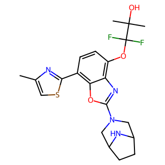 Cc1csc(-c2ccc(OC(F)(F)C(C)(C)O)c3nc(N4CC5CCC(C4)N5)oc23)n1